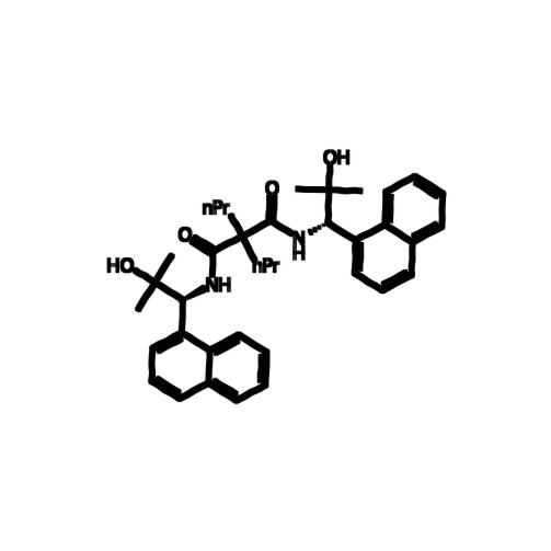 CCCC(CCC)(C(=O)N[C@@H](c1cccc2ccccc12)C(C)(C)O)C(=O)N[C@@H](c1cccc2ccccc12)C(C)(C)O